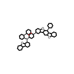 c1ccc(-c2ccccc2N(c2ccc(-c3ccc4oc5c(-c6ccccc6)c6c(cc5c4c3)oc3ccccc36)cc2)c2cccc3c2oc2ccccc23)cc1